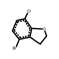 Clc1[c]cc(Br)c2c1OCC2